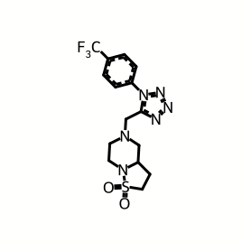 O=S1(=O)CCC2CN(Cc3nnnn3-c3ccc(C(F)(F)F)cc3)CCN21